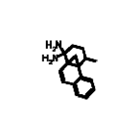 CC1CCC(N)(N)C23C=Cc4ccccc4C12C3